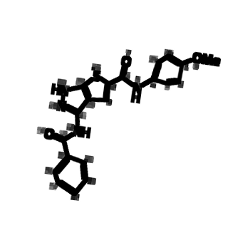 COc1ccc(NC(=O)c2cc3c(NC(=O)c4ccccc4)n[nH]c3s2)cc1